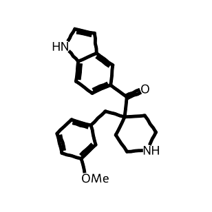 COc1cccc(CC2(C(=O)c3ccc4[nH]ccc4c3)CCNCC2)c1